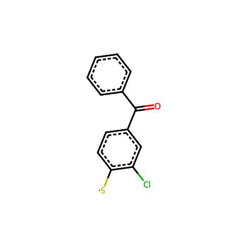 O=C(c1ccccc1)c1ccc([S])c(Cl)c1